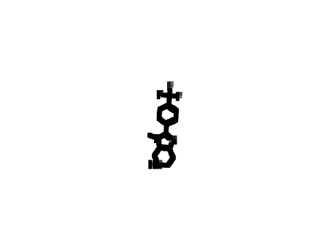 Cn1c(C2=CC=C(C(F)(F)F)CC2)nc2c1CNCC2